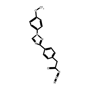 [N-]=[N+]=NC(=O)Cc1ccc(-c2ncn(-c3ccc(OC(F)(F)F)cc3)n2)cc1